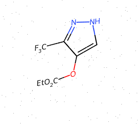 CCOC(=O)Oc1c[nH]nc1C(F)(F)F